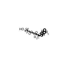 C[C@H](CCC(=O)OCCOC(=O)CC(F)C(F)(F)S(=O)(=O)O)[C@H]1CC[C@H]2[C@@H]3CC[C@@H]4CCCC[C@]4(C)[C@H]3CC[C@]12C